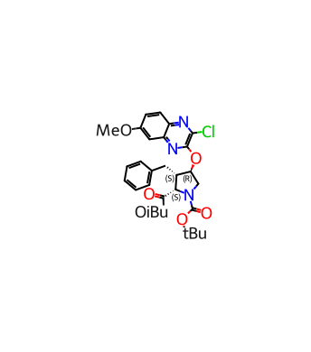 COc1ccc2nc(Cl)c(O[C@H]3CN(C(=O)OC(C)(C)C)[C@H](C(=O)OCC(C)C)[C@@H]3Cc3ccccc3)nc2c1